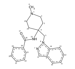 CN1CCC(Cn2ncc3ccccc32)(NC(=O)c2ccccc2)CC1